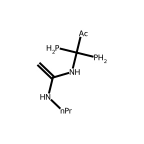 C=C(NCCC)NC(P)(P)C(C)=O